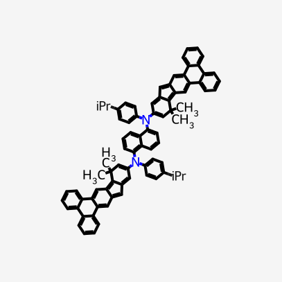 CC(C)c1ccc(N(C2=CC(C)(C)C3=c4cc5c6ccccc6c6ccccc6c5cc4=CC3=C2)c2cccc3c(N(C4=CC(C)(C)C5=c6cc7c8ccccc8c8ccccc8c7cc6=CC5=C4)c4ccc(C(C)C)cc4)cccc23)cc1